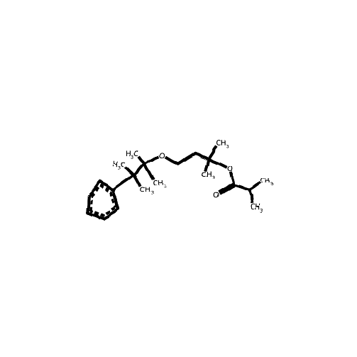 CC(C)C(=O)OC(C)(C)CCOC(C)(C)C(C)(C)c1ccccc1